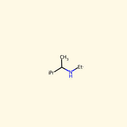 C[CH]NC(C)C(C)C